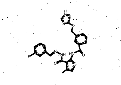 Cc1csc(NC(=O)c2cccc(CSc3nc[nH]n3)c2)c1C(=O)N/N=C/c1cccc(F)c1